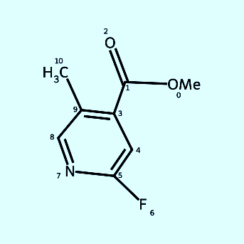 COC(=O)c1cc(F)ncc1C